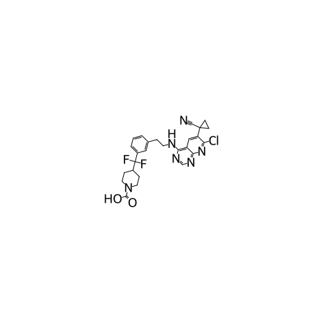 N#CC1(c2cc3c(NCCc4cccc(C(F)(F)C5CCN(C(=O)O)CC5)c4)ncnc3nc2Cl)CC1